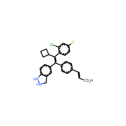 O=C(O)/C=C/c1ccc(/C(=C(\c2ccc(F)cc2Cl)C2CCC2)c2ccc3c(c2)CNN3)cc1